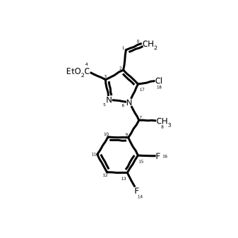 C=Cc1c(C(=O)OCC)nn(C(C)c2cccc(F)c2F)c1Cl